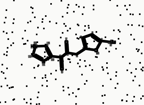 CCCCc1ccc(CC(=O)C(=O)c2nn[nH]n2)o1